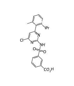 Cc1cccc(C(C)C)c1-c1cc(Cl)nc(NS(=O)(=O)c2cccc(C(=O)O)c2)n1